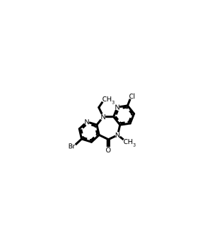 CCN1c2ncc(Br)cc2C(=O)N(C)c2ccc(Cl)nc21